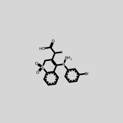 NN(C1=C(C(I)C(=O)O)CS(=O)(=O)c2ccccc21)c1cccc(Br)c1